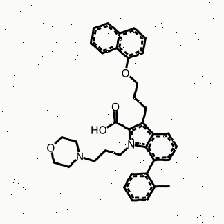 Cc1ccccc1-c1cccc2c(CCCOc3cccc4ccccc34)c(C(=O)O)n(CCCN3CCOCC3)c12